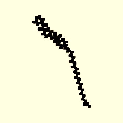 NCCOCCOCCOCCOCCOCCOCC#Cc1ccc(S(=O)(=O)NCc2ccc(C(=O)Nc3ccncc3)cc2)cc1